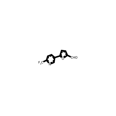 O=Cc1ccc(-c2ccc(C(F)(F)F)nc2)o1